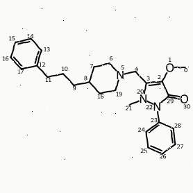 COc1c(CN2CCC(CCCc3ccccc3)CC2)n(C)n(-c2ccccc2)c1=O